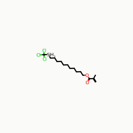 C=C(C)C(=O)OCCCCCCCCCCC[SiH2]C(Cl)(Cl)Cl